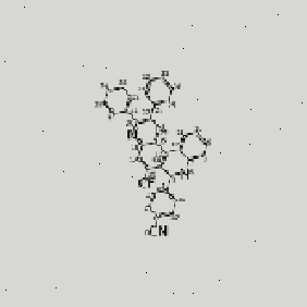 N#Cc1ccc(-c2nc3ccccc3c3c2c(C(F)(F)F)cc2nc(-c4ccccc4)c(-c4ccccc4)nc23)cc1